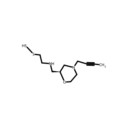 CC#CCN1CCO[C@@H](CNCCSS)C1